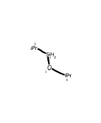 CC(C)O[SiH2]C(C)C